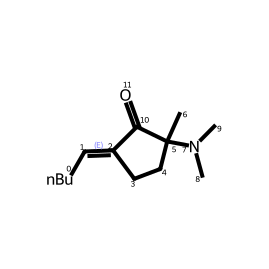 CCCC/C=C1\CCC(C)(N(C)C)C1=O